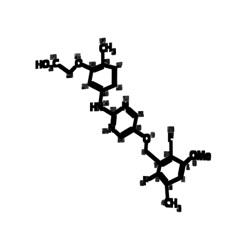 COc1cc(C)c(F)c(COc2cnc(Nc3ccc(C)c(OCC(=O)O)c3)nc2)c1F